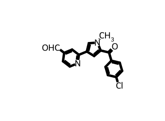 Cn1cc(-c2cc(C=O)ccn2)cc1C(=O)c1ccc(Cl)cc1